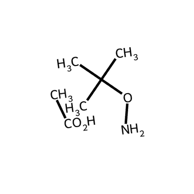 CC(=O)O.CC(C)(C)ON